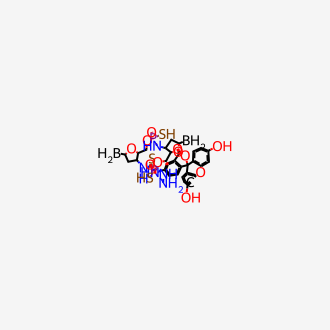 BC1CC(NC(=S)Nc2ccc3c(c2)C(=O)OC32c3ccc(O)cc3Oc3cc(O)ccc32)C(COP(=O)(S)NC2CC(B)OC2COP(=O)(S)NN)O1